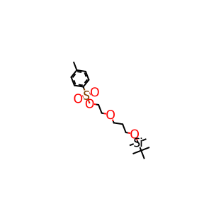 Cc1ccc(S(=O)(=O)OCCOCCCO[Si](C)(C)C(C)(C)C)cc1